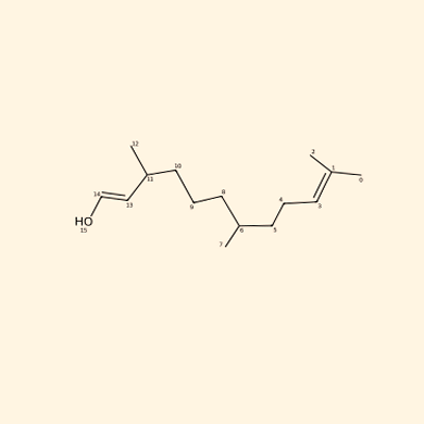 CC(C)=CCCC(C)CCCC(C)C=CO